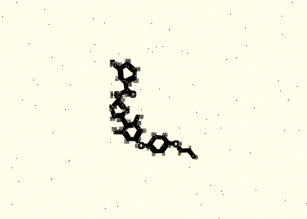 CCCOC1=CC=C(Oc2cc(C)c(-c3csc(NC(=O)c4cccc(F)c4)n3)c(C)c2)CC1